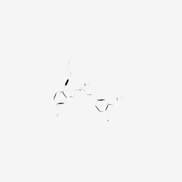 CCCCC#Cc1ccc(OC)cc1CC(C)N(C)CCc1ccc(OC)c(OC)c1